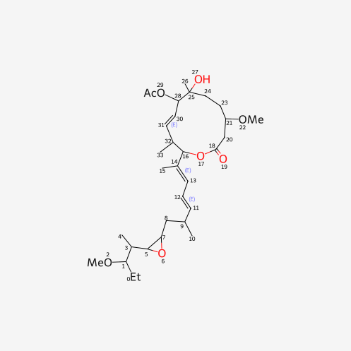 CCC(OC)C(C)C1OC1CC(C)/C=C/C=C(\C)C1OC(=O)CC(OC)CCC(C)(O)C(OC(C)=O)/C=C/C1C